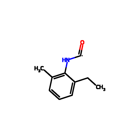 CCc1cccc(C)c1N[C]=O